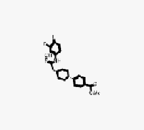 COC(=O)c1ccc([C@H]2CC[C@@H](C/C(=N/O)Nc3ccc(F)c(F)c3)CC2)cc1